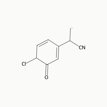 [CH2]C(C#N)C1=CC(=O)C(Cl)C=C1